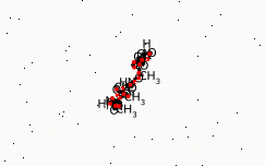 COc1cc(-c2cn(C)c(=O)c3[nH]ncc23)cc(OC)c1COCC(=O)NCCOC(C)CCc1cccc2c1C(=O)N(C1CCC(=O)NC1=O)C2=O